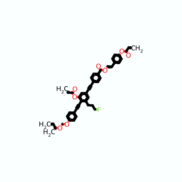 C=CC(=C)OCOc1ccc(C#Cc2c(CCCF)cc(C#Cc3ccc(C(=O)O/C=C/c4ccc(OC(=O)C=C)cc4)cc3)cc2OC(=O)C=C)cc1